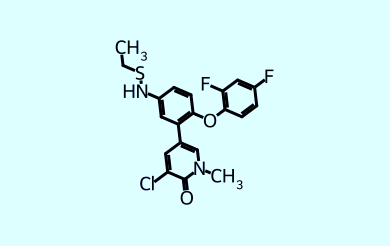 CCSNc1ccc(Oc2ccc(F)cc2F)c(-c2cc(Cl)c(=O)n(C)c2)c1